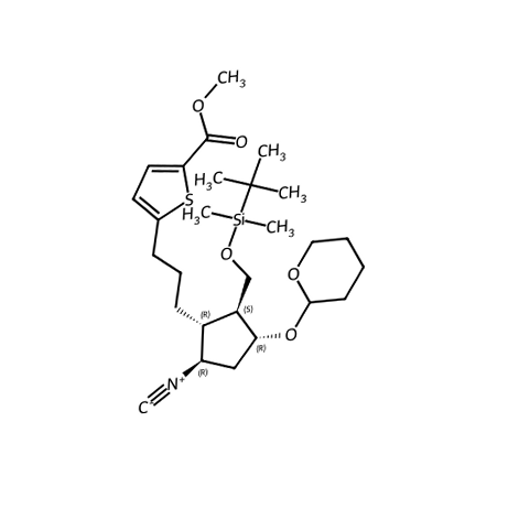 [C-]#[N+][C@@H]1C[C@@H](OC2CCCCO2)[C@H](CO[Si](C)(C)C(C)(C)C)[C@H]1CCCc1ccc(C(=O)OC)s1